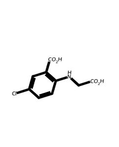 O=C(O)CNc1ccc(Cl)cc1C(=O)O